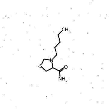 CCCCCN1CSCC1C(N)=O